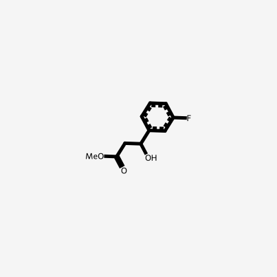 COC(=O)CC(O)c1cccc(F)c1